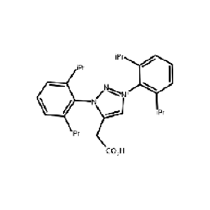 CC(C)c1cccc(C(C)C)c1-n1n[n+](-c2c(C(C)C)cccc2C(C)C)cc1CC(=O)O